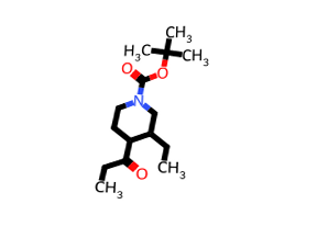 CCC(=O)C1CCN(C(=O)OC(C)(C)C)CC1CC